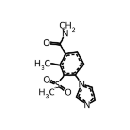 C=NC(=O)c1ccc(-n2ccnc2)c(S(C)(=O)=O)c1C